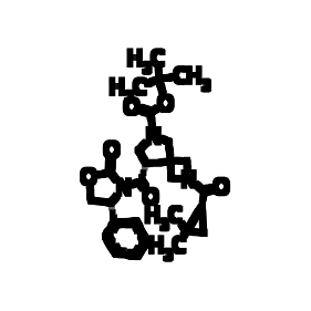 CC(C)(C)OC(=O)N1C[C@@H](C(=O)N2C(=O)OC[C@H]2c2ccccc2)C2(C1)CN(C(=O)[C@H]1CC1(C)C)C2